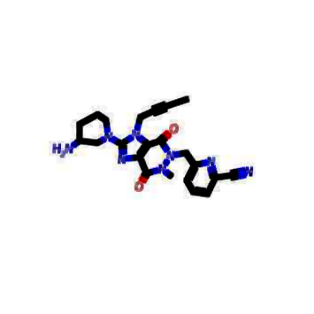 CC#CCn1c(N2CCCC(N)C2)nc2c(=O)n(C)n(Cc3cccc(C#N)n3)c(=O)c21